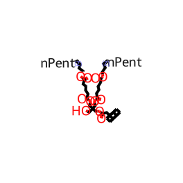 CCCCC/C=C\CCOC(=O)CCCCC(=O)OCC(CO)(COC(=O)CCCCC(=O)OCC/C=C\CCCCC)COC(=O)CC12C3C4C5C3C1C5C42